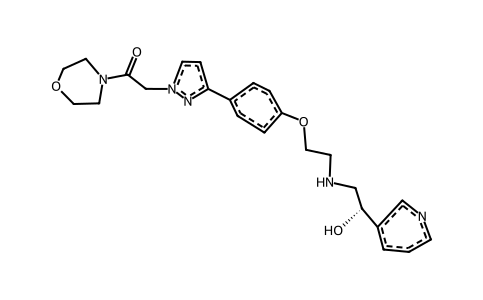 O=C(Cn1ccc(-c2ccc(OCCNC[C@@H](O)c3cccnc3)cc2)n1)N1CCOCC1